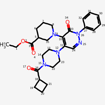 CCOC(=O)C1CCCN(c2c(N3CCN(C(=O)C4CCC4)CC3)cnn(-c3ccccc3)c2=O)C1